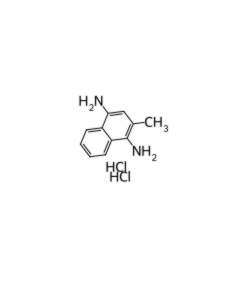 Cc1cc(N)c2ccccc2c1N.Cl.Cl